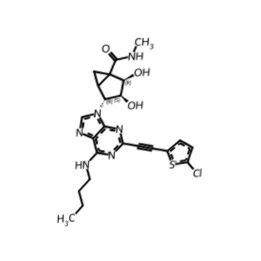 CCCCNc1nc(C#Cc2ccc(Cl)s2)nc2c1ncn2[C@@H]1C2CC2(C(=O)NC)[C@@H](O)[C@H]1O